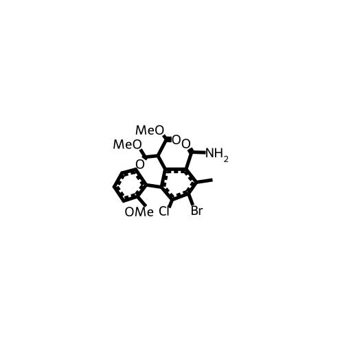 COC(=O)C(C(=O)OC)c1c(C(N)=O)c(C)c(Br)c(Cl)c1-c1ccccc1OC